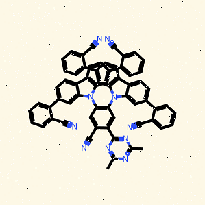 Cc1nc(C)nc(-c2cc(-n3c4cc(-c5ccccc5C#N)ccc4c4ccc(-c5ccccc5C#N)cc43)c(-n3c4cc(-c5ccccc5C#N)ccc4c4ccc(-c5ccccc5C#N)cc43)cc2C#N)n1